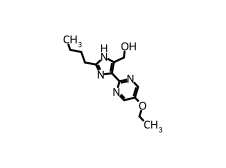 CCCCc1nc(-c2ncc(OCC)cn2)c(CO)[nH]1